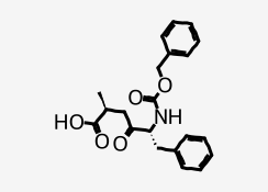 C[C@@H](CC(=O)[C@@H](Cc1ccccc1)NC(=O)OCc1ccccc1)C(=O)O